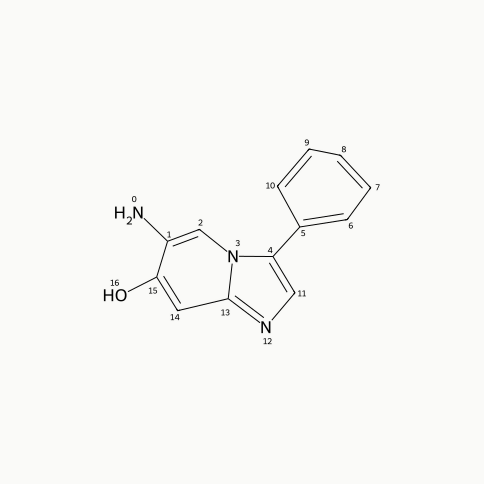 Nc1cn2c(-c3ccccc3)cnc2cc1O